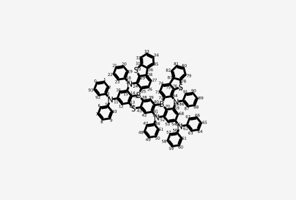 c1ccc(N(c2ccccc2)c2cc3c4c(c2)N(c2ccccc2)c2c(ccc5c2sc2ccccc25)B4c2cc4c(cc2S3)N(c2ccccc2)c2cc(N(c3ccccc3)c3ccccc3)cc3c2B4c2ccc4c(sc5ccccc54)c2N3c2ccccc2)cc1